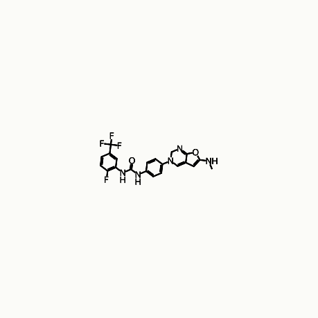 CNc1cc2c(o1)=NCN(c1ccc(NC(=O)Nc3cc(C(F)(F)F)ccc3F)cc1)C=2